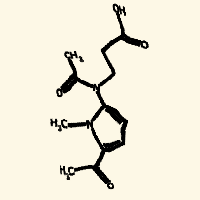 CC(=O)c1ccc(N(CCC(=O)O)C(C)=O)n1C